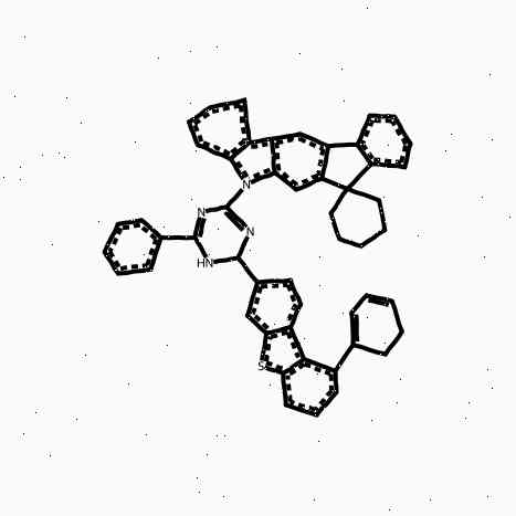 C1=CCCC(c2cccc3sc4cc(C5N=C(n6c7ccccc7c7cc8c(cc76)C6(CCCCC6)c6ccccc6-8)N=C(c6ccccc6)N5)ccc4c23)=C1